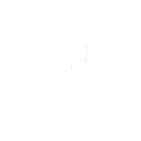 C/C=C/C(=O)[O-].FB(F)F.[Li+]